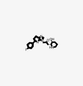 O=C(C[C@H]1NCCC[C@@H]1O)Cn1cnc2ccc(-c3ccc(F)cc3)nc21